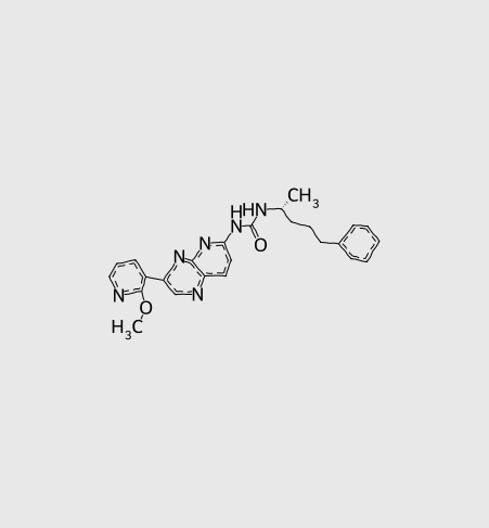 COc1ncccc1-c1cnc2ccc(NC(=O)N[C@H](C)CCCc3ccccc3)nc2n1